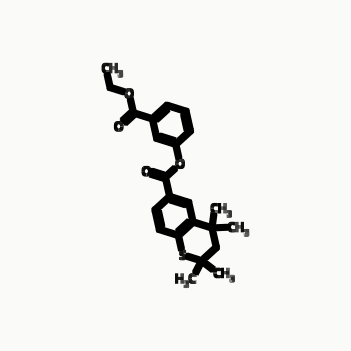 CCOC(=O)c1cccc(OC(=O)c2ccc3c(c2)C(C)(C)CC(C)(C)S3)c1